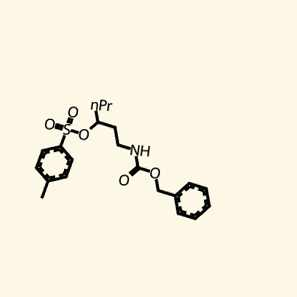 CCCC(CCNC(=O)OCc1ccccc1)OS(=O)(=O)c1ccc(C)cc1